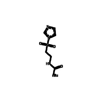 CCCCC(=O)NCCS(=O)(=O)n1ccnc1